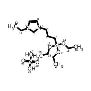 CCO[Si](CCCN1C=CN(CC)C1)(OCC)OCC.O=S(=O)(O)O